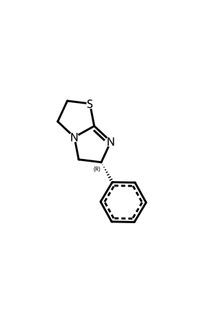 c1ccc([C@@H]2CN3CCSC3=N2)cc1